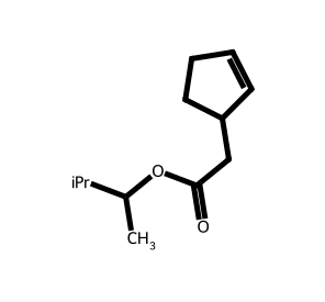 CC(C)C(C)OC(=O)CC1C=CCC1